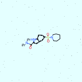 CC(C)N(C(=O)c1cc2cc(S(=O)(=O)N3CCCCCC3)ccc2[nH]1)C(C)C